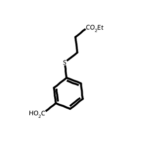 CCOC(=O)CCSc1cccc(C(=O)O)c1